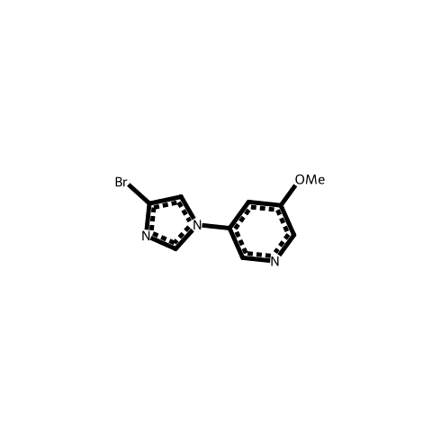 COc1cncc(-n2cnc(Br)c2)c1